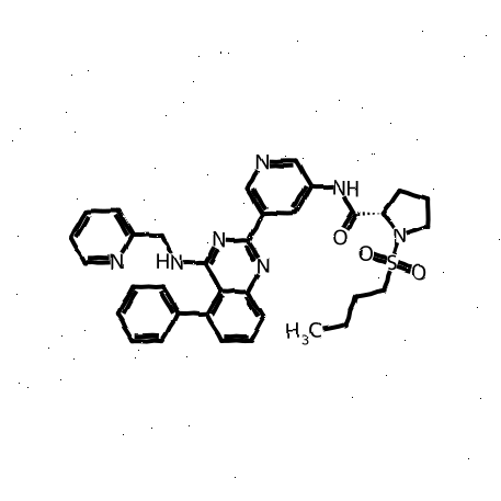 CCCCS(=O)(=O)N1CCC[C@H]1C(=O)Nc1cncc(-c2nc(NCc3ccccn3)c3c(-c4ccccc4)cccc3n2)c1